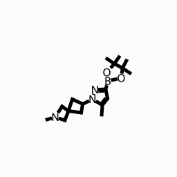 Cc1cc(B2OC(C)(C)C(C)(C)O2)nn1C1CC2(C1)CN(C)C2